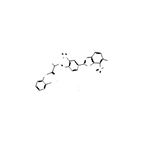 COc1ccccc1NC(=O)C(N=Nc1ccc(-c2nc3ccc(C)c(S(=O)(=O)[O-])c3s2)cc1S(=O)(=O)[O-])C(C)=O.[Na+].[Na+]